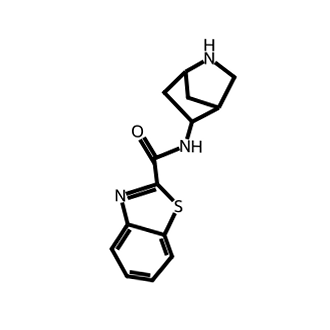 O=C(NC1CC2CC1CN2)c1nc2ccccc2s1